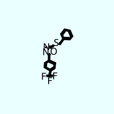 FC(F)(F)c1ccc(-c2nnc(SCc3ccccc3)o2)cc1